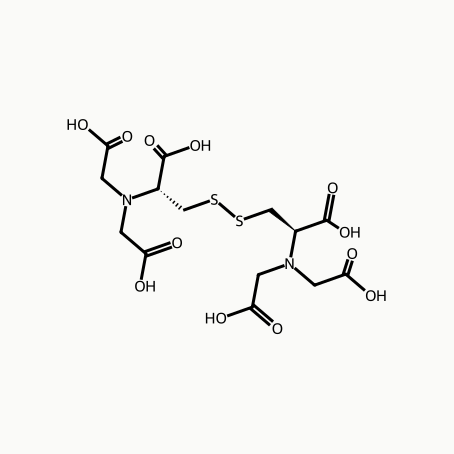 O=C(O)CN(CC(=O)O)[C@@H](CSSC[C@@H](C(=O)O)N(CC(=O)O)CC(=O)O)C(=O)O